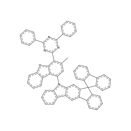 Cc1cc(-n2c3ccccc3c3cc4c(cc32)C2(c3ccccc3-c3ccccc32)c2ccccc2-4)c2c(oc3ccccc32)c1-c1nc(-c2ccccc2)nc(-c2ccccc2)n1